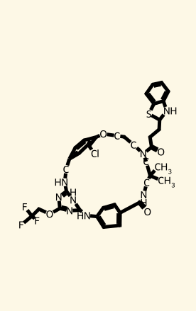 CC1(C)CNC(=O)c2ccc(cc2)NC2N=C(OCC(F)(F)F)N=C(NCc3ccc(c(Cl)c3)OCCCN(C(=O)CCC3Nc4ccccc4S3)C1)N2